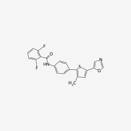 Cc1cc(-c2cnco2)sc1-c1ccc(NC(=O)c2c(F)cccc2F)cc1